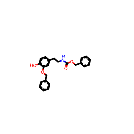 O=C(NCCc1ccc(O)c(OCc2ccccc2)c1)OCc1ccccc1